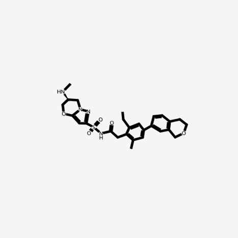 CCc1cc(-c2ccc3c(c2)COCC3)cc(C)c1CC(=O)NS(=O)(=O)c1cc2n(n1)C[C@H](NC)CO2